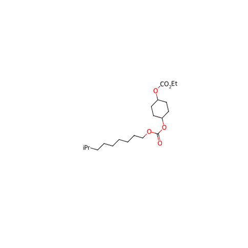 CCOC(=O)OC1CCC(OC(=O)OCCCCCCCC(C)C)CC1